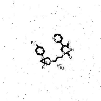 Cl.Cl.O=c1[nH]c(=O)n(CCCN2C[C@@H]3C[C@]3(c3ccc(C(F)(F)F)cc3)C2)cc1-c1cccnn1